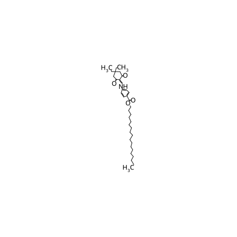 CCCCCCCCCCCCCCCCCCOC(=O)c1ccc(NC=C2C(=O)CC(CC)(CC)CC2=O)cc1